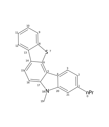 CCCc1ccc2c3c4sc5ccccc5c4ccc3n(C)c2c1